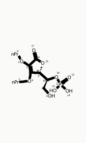 CCCOC1=C(OCCC)[C@@H]([C@H](CO)OP(=O)(O)O)OC1=O